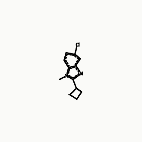 Cn1c(C2[CH]CC2)nc2cc(Cl)ccc21